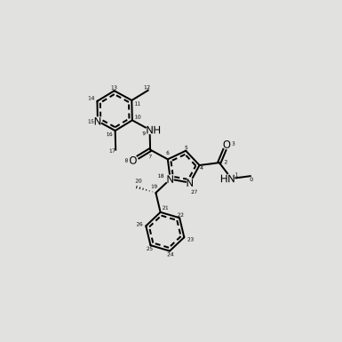 CNC(=O)c1cc(C(=O)Nc2c(C)ccnc2C)n([C@@H](C)c2ccccc2)n1